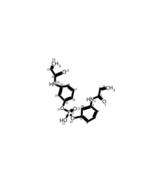 C=CC(=O)Nc1cccc(OP(=O)(O)Oc2cccc(NC(=O)C=C)c2)c1